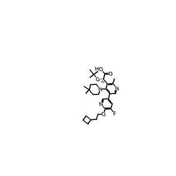 Cc1ncc(-c2cnc(OCCC3CCC3)c(F)c2)c(N2CCC(C)(C)CC2)c1[C@H](OC(C)(C)C)C(=O)O